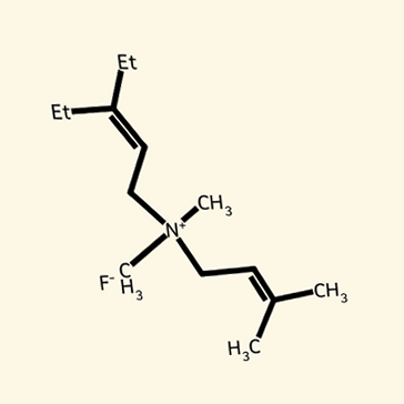 CCC(=CC[N+](C)(C)CC=C(C)C)CC.[F-]